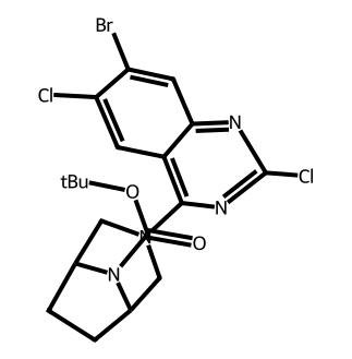 CC(C)(C)OC(=O)N1C2CCC1CN(c1nc(Cl)nc3cc(Br)c(Cl)cc13)C2